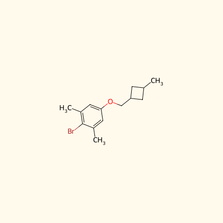 Cc1cc(OCC2CC(C)C2)cc(C)c1Br